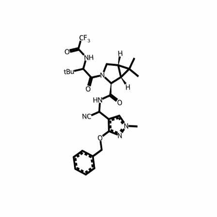 Cn1cc(C(C#N)NC(=O)[C@@H]2[C@@H]3[C@H](CN2C(=O)C(NC(=O)C(F)(F)F)C(C)(C)C)C3(C)C)c(OCc2ccccc2)n1